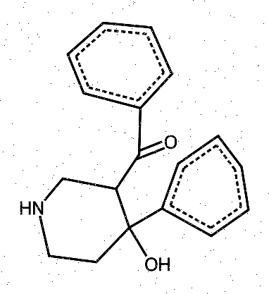 O=C(c1ccccc1)C1CNCCC1(O)c1ccccc1